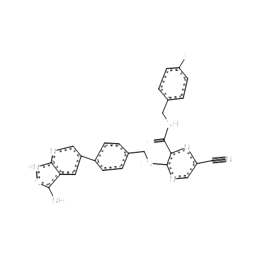 N#Cc1cnc(NCc2ccc(-c3cnc4[nH]nc(N)c4c3)cc2)c(C(=O)NCc2ccc(F)cc2)n1